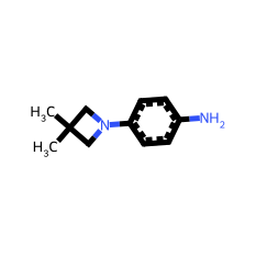 CC1(C)CN(c2ccc(N)cc2)C1